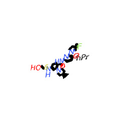 CCCOc1ccc(NC(=O)c2ccc(NSCCO)cc2N2CCC3(CC2)CC3)nc1N1CCC(C)(F)C1